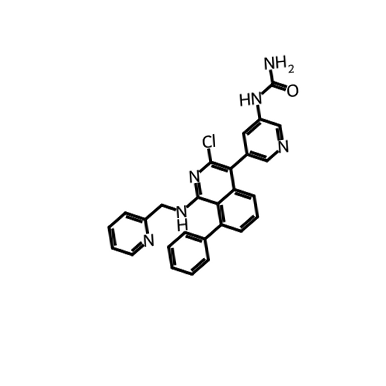 NC(=O)Nc1cncc(-c2c(Cl)nc(NCc3ccccn3)c3c(-c4ccccc4)cccc23)c1